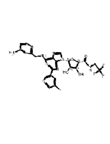 Cc1ccnc(CNc2nc(-c3cncc(F)c3)nc3c2ncn3[C@@H]2O[C@H](C(=O)NCC(F)(F)F)[C@@H](O)[C@H]2O)c1